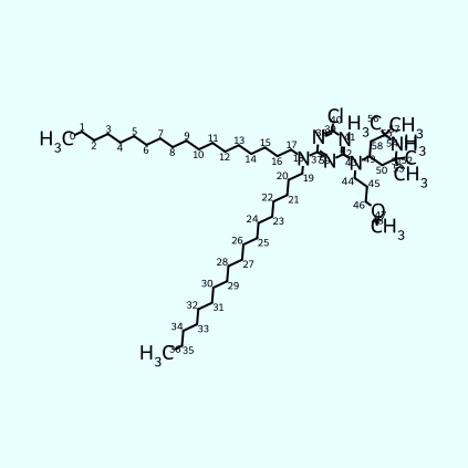 CCCCCCCCCCCCCCCCCCN(CCCCCCCCCCCCCCCCCC)c1nc(Cl)nc(N(CCCOC)C2CC(C)(C)NC(C)(C)C2)n1